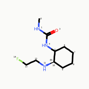 CNC(=O)NC1CCCC[C@H]1NCCF